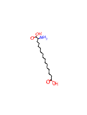 NC(CCCCCCCCCCCCCCC(=O)O)C(=O)O